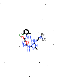 CCN(CC)CCNc1nc(C)nc(Nc2nnc(C(=O)Nc3c(C)cccc3Cl)o2)n1